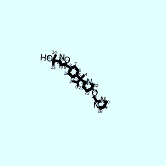 CC(C)C(C)(c1ccc(-c2cc(C(C)(C)O)no2)cc1)c1ccc(OCc2ncccn2)cn1